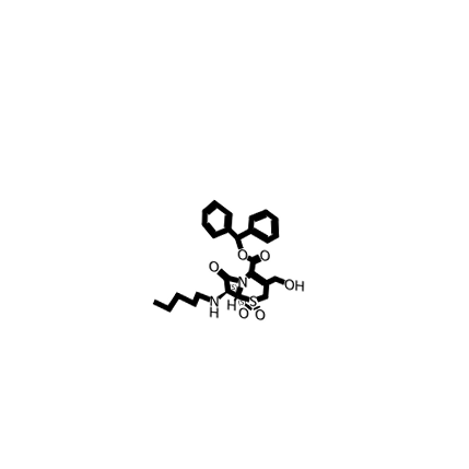 CCCCCN[C@H]1C(=O)N2C(C(=O)OC(c3ccccc3)c3ccccc3)=C(CO)CS(=O)(=O)[C@@H]12